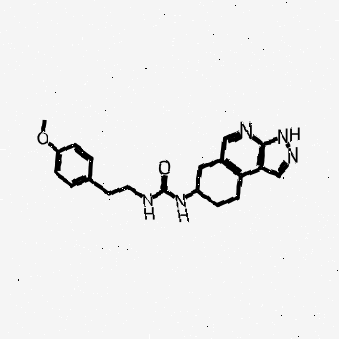 COc1ccc(CCNC(=O)NC2CCc3c(cnc4[nH]ncc34)C2)cc1